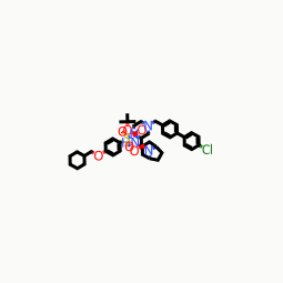 CC(C)(C)OC(=O)NC1CC2CCC(C1)N2C(=O)C1CN(Cc2ccc(-c3ccc(Cl)cc3)cc2)CCN1S(=O)(=O)c1ccc(OCC2CCCCC2)cc1